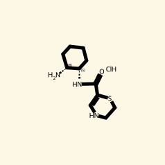 Cl.N[C@@H]1CCCC[C@@H]1NC(=O)C1=CNCCS1